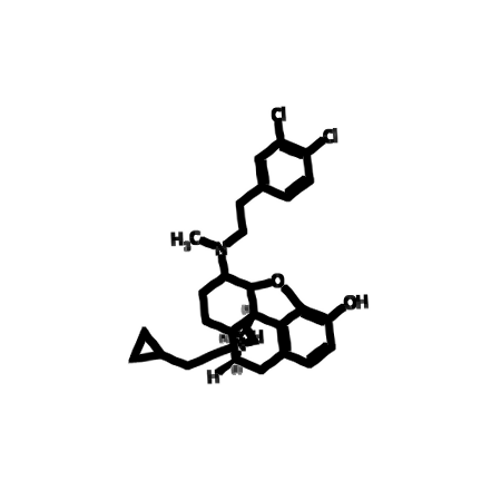 CN(CCc1ccc(Cl)c(Cl)c1)C1CC[C@@]2(O)[C@H]3Cc4ccc(O)c5c4[C@@]2(CCN3CC2CC2)C1O5